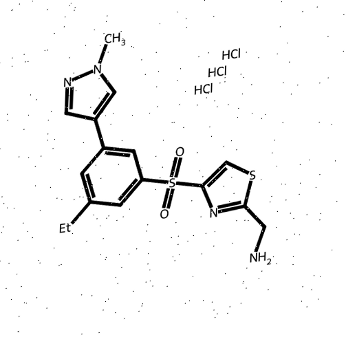 CCc1cc(-c2cnn(C)c2)cc(S(=O)(=O)c2csc(CN)n2)c1.Cl.Cl.Cl